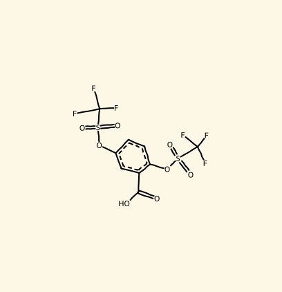 O=C(O)c1cc(OS(=O)(=O)C(F)(F)F)ccc1OS(=O)(=O)C(F)(F)F